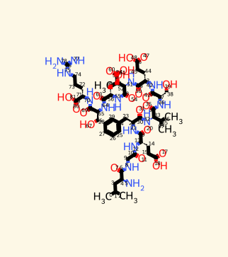 CC(C)C[C@H](N)C(=O)NCC(=O)N[C@@H](CCC(=O)O)C(=O)N[C@@H](Cc1ccccc1)C(=O)N[C@H](C(=O)N[C@@H](CO)C(=O)N[C@@H](CCC(=O)O)C(=O)N[C@H](C(=O)N[C@@H](CCC(=O)O)C(=O)N[C@@H](CO)C(=O)N[C@@H](CCCNC(=N)N)C(=O)O)[C@@H](C)O)C(C)C